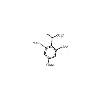 CCOC(=O)C(C)c1c(OC)cc(OC)cc1OC